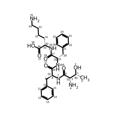 C[C@@H](O)[C@H](N)C(=O)N[C@@H](Cc1ccccc1)C(=O)N[C@@H](Cc1ccccc1)C(=O)N[C@@H](CCCCN)C(=O)O